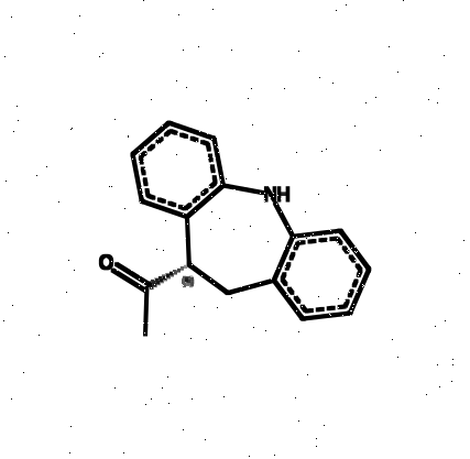 CC(=O)[C@H]1Cc2ccccc2Nc2ccccc21